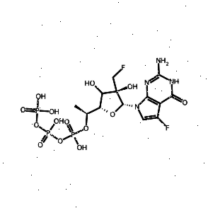 C[C@H](OP(=O)(O)OP(=O)(O)OP(=O)(O)O)[C@H]1O[C@@H](n2cc(F)c3c(=O)[nH]c(N)nc32)[C@@](O)(CF)C1O